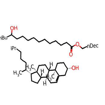 CC(C)CCCC(C)[C@H]1CC[C@H]2[C@@H]3CC=C4C[C@@H](O)CC[C@]4(C)[C@H]3CC[C@]12C.CCCCCCCCCCCOC(=O)CCCCCCCCCCC(O)CCCC